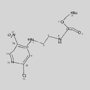 CC(C)(C)OC(=O)NCCNc1cc(Cl)ncc1[N+](=O)[O-]